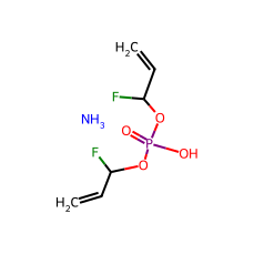 C=CC(F)OP(=O)(O)OC(F)C=C.N